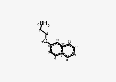 BCCOc1ccc2ccccc2c1